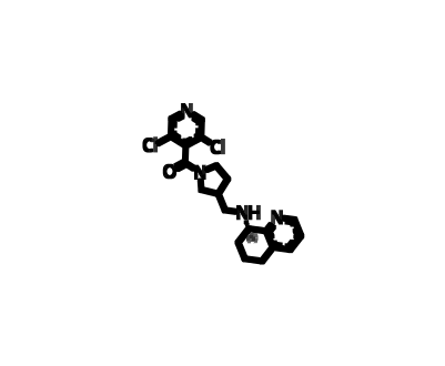 O=C(c1c(Cl)cncc1Cl)N1CCC(CN[C@H]2CCCc3cccnc32)C1